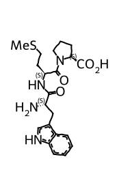 CSCC[C@H](NC(=O)[C@@H](N)Cc1c[nH]c2ccccc12)C(=O)N1CCC[C@H]1C(=O)O